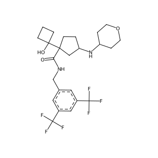 O=C(NCc1cc(C(F)(F)F)cc(C(F)(F)F)c1)C1(C2(O)CCC2)CCC(NC2CCOCC2)C1